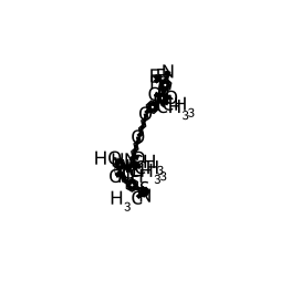 Cc1ncsc1-c1ccc(CNC(=O)[C@@H]2C[C@@H](O)CN2C(=O)[C@@H](NC(=O)CCCCOCCCCCOc2ccc(N3C(=O)N(c4ccc(C#N)c(C(F)(F)F)c4)C(=O)C3(C)C)cc2)C(C)(C)C)cc1